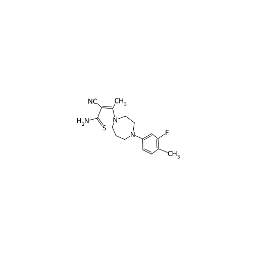 CC(=C(C#N)C(N)=S)N1CCCN(c2ccc(C)c(F)c2)CC1